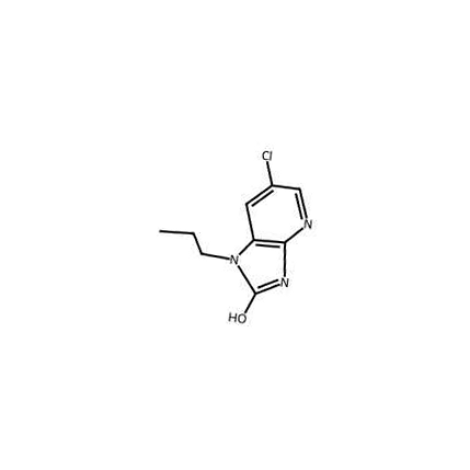 CCCn1c(O)nc2ncc(Cl)cc21